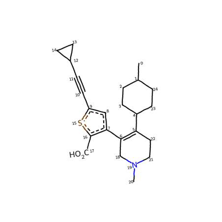 CC1CCC(C2=C(c3cc(C#CC4CC4)sc3C(=O)O)CN(C)CC2)CC1